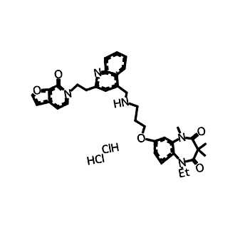 CCN1C(=O)C(C)(C)C(=O)N(C)c2cc(OCCCNCc3cc(CCn4ccc5ccoc5c4=O)nc4ccccc34)ccc21.Cl.Cl